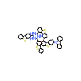 C1=CC(n2c3ccccc3c3ccccc32)Cc2sc3cccc(-c4ccc5sc6cccc(C7NC(c8ccc9c(c8)sc8ccccc89)NC(c8ccc9c(c8)sc8ccccc89)N7)c6c5c4)c3c21